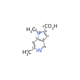 Cc1cc2c(cn1)cc(C(=O)O)n2C